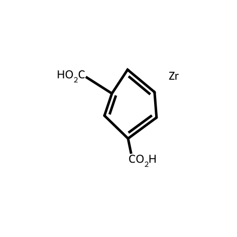 O=C(O)c1cccc(C(=O)O)c1.[Zr]